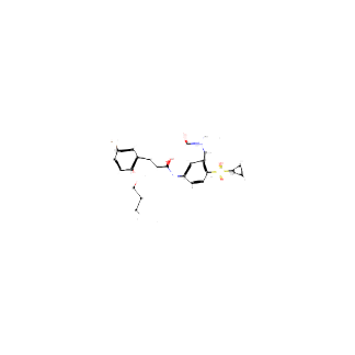 CCCCOc1ccc(Br)cc1CCC(=O)Nc1ccc(S(=O)(=O)C2CC2)c(CN(C)C=O)c1